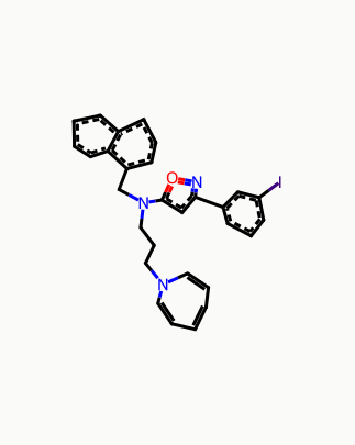 Ic1cccc(-c2cc(N(CCCN3C=CC=CC=C3)Cc3cccc4ccccc34)on2)c1